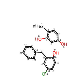 CCCCCCc1ccc(O)cc1O.Oc1ccc(Cl)cc1Cc1ccccc1